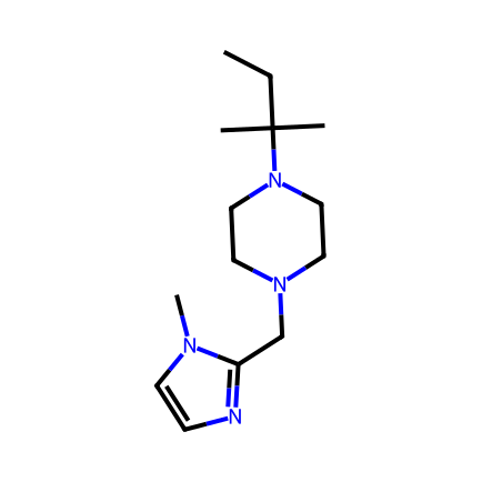 CCC(C)(C)N1CCN(Cc2nccn2C)CC1